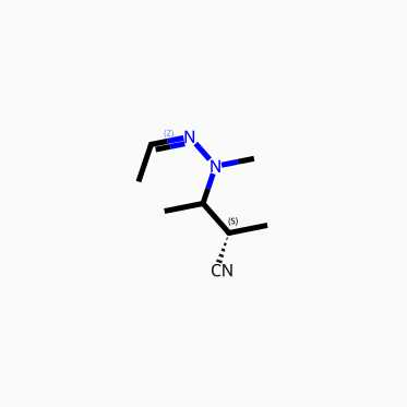 C/C=N\N(C)C(C)[C@H](C)C#N